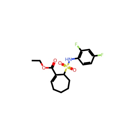 CCOC(=O)C1=CCCCCC1S(=O)(=O)Nc1ccc(F)cc1F